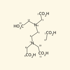 CC(=O)O.O=C(O)CN(CCN(CC(=O)O)CC(=O)O)CC(=O)O